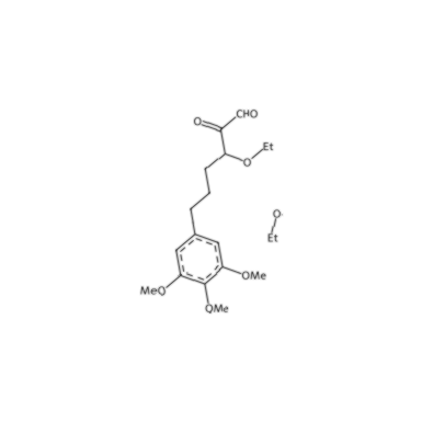 CCOC(CCCc1cc(OC)c(OC)c(OC)c1)C(=O)C=O.CC[O]